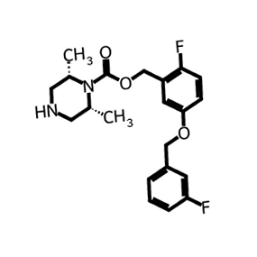 C[C@@H]1CNC[C@H](C)N1C(=O)OCc1cc(OCc2cccc(F)c2)ccc1F